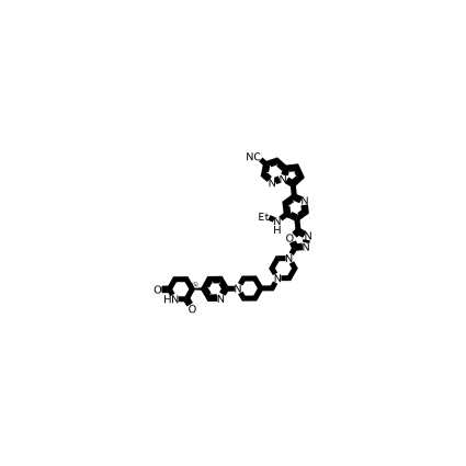 CCNc1cc(-c2ccc3cc(C#N)cnn23)ncc1-c1nnc(N2CCN(CC3CCN(c4ccc([C@@H]5CCC(=O)NC5=O)cn4)CC3)CC2)o1